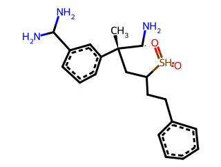 C[C@@]([CH]N)(CC(CCc1ccccc1)[SH](=O)=O)c1cccc(C(N)N)c1